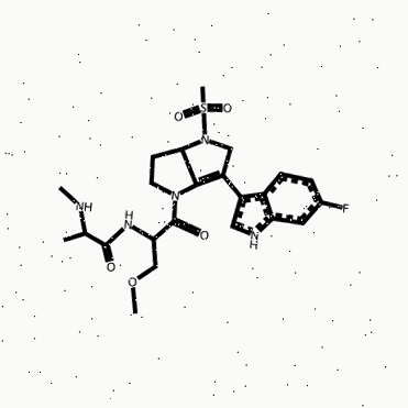 CNC(C)C(=O)NC(COC)C(=O)N1CCC2C1=C(c1c[nH]c3cc(F)ccc13)CN2S(C)(=O)=O